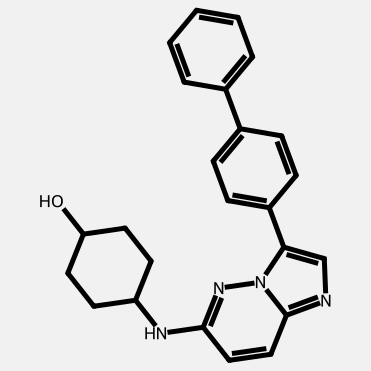 OC1CCC(Nc2ccc3ncc(-c4ccc(-c5ccccc5)cc4)n3n2)CC1